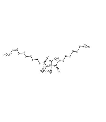 CCCCCCCC/C=C\CCCCCCCC(=O)N(P)C(CO)(C(=O)O)C(=O)CCCCCCCCCCCCCCCCC